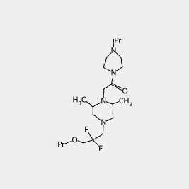 CC(C)OCC(F)(F)CN1CC(C)N(CC(=O)N2CCN(C(C)C)CC2)C(C)C1